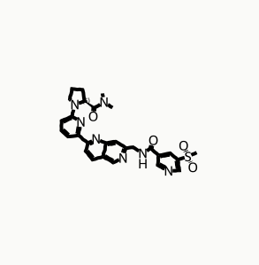 CN(C)C(=O)[C@@H]1CCCN1c1cccc(-c2ccc3cnc(CNC(=O)c4cncc(S(C)(=O)=O)c4)cc3n2)n1